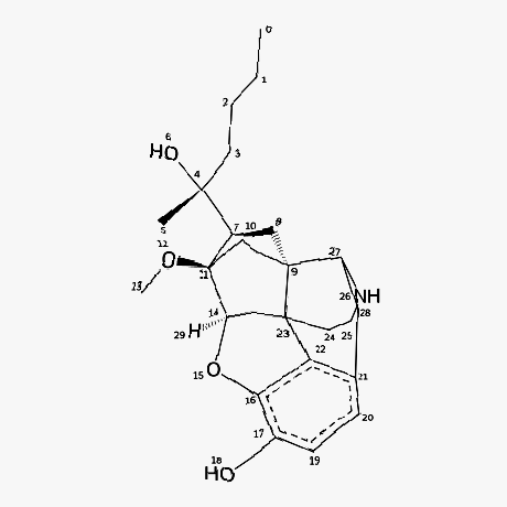 CCCC[C@@](C)(O)[C@H]1C[C@@]23C[C@]1(OC)[C@@H]1Oc4c(O)ccc5c4C12CCNC3C5